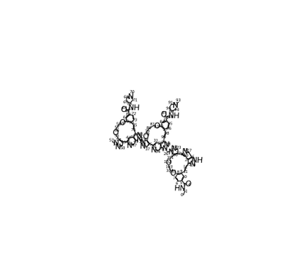 CCNC(=O)c1ccc2c(c1)/C=C/c1n[nH]c3cnc(cc13)-c1cnn(Cn3nc4c5cc(ncc53)-c3cnn(-n5nc6c7cc(ncc75)-c5cnn(C)c5COCCOc5cc(C(=O)N[C@@H]7CCN(C)C7)ccc5/C=C/6)c3OCCCOc3cc(C(=O)N[C@H]5CCN(C)C5)ccc3/C=C/4)c1COCCO2